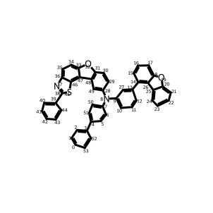 c1ccc(-c2ccc(N(c3cccc(-c4cccc5oc6ccccc6c45)c3)c3ccc4oc5ccc6nc(-c7ccccc7)sc6c5c4c3)cc2)cc1